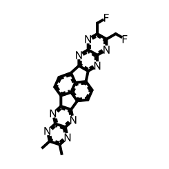 Cc1nc2nc3c(nc2nc1C)-c1ccc2c4c(ccc-3c14)-c1nc3nc(CF)c(CF)nc3nc1-2